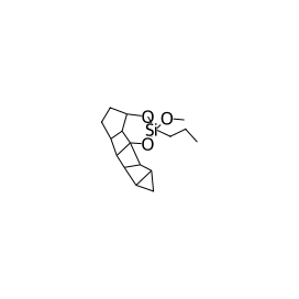 CCC[Si]1(OC)OC2CCC3C2C2(O1)C1C4CC4C1C32